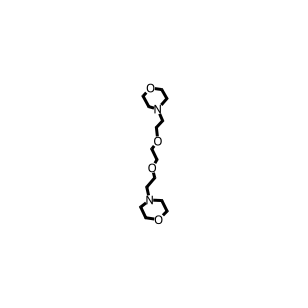 C(COCCN1CCOCC1)OCCN1CCOCC1